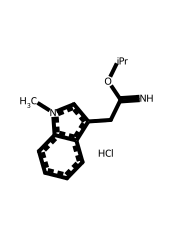 CC(C)OC(=N)Cc1cn(C)c2ccccc12.Cl